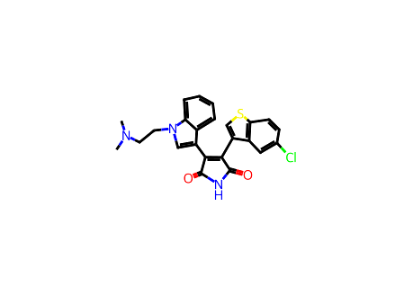 CN(C)CCn1cc(C2=C(c3csc4ccc(Cl)cc34)C(=O)NC2=O)c2ccccc21